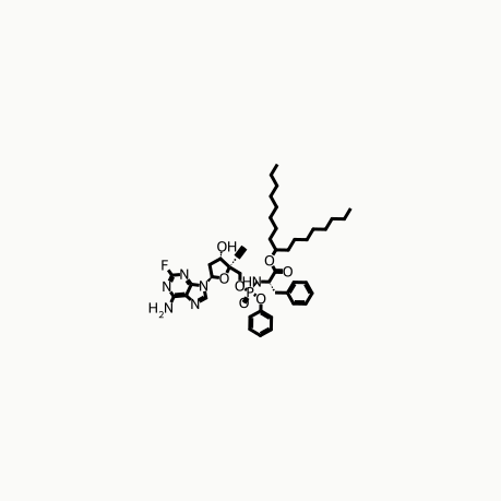 C#C[C@]1(CO[P@](=O)(N[C@@H](Cc2ccccc2)C(=O)OC(CCCCCCCC)CCCCCCCC)Oc2ccccc2)O[C@@H](n2cnc3c(N)nc(F)nc32)C[C@@H]1O